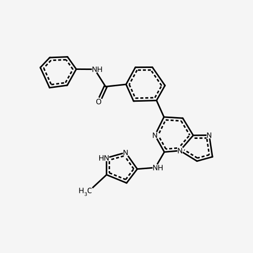 Cc1cc(Nc2nc(-c3cccc(C(=O)Nc4ccccc4)c3)cc3nccn23)n[nH]1